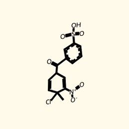 CC1(Cl)C=CC(C(=O)c2cccc(S(=O)(=O)O)c2)C=C1[N+](=O)[O-]